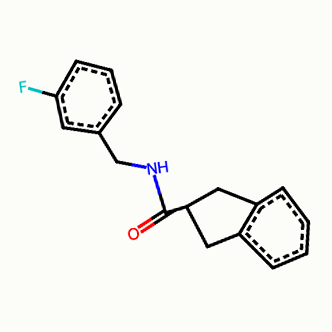 O=C(NCc1cccc(F)c1)C1Cc2ccccc2C1